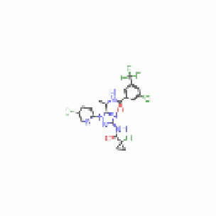 CC(NC(=O)c1cc(Cl)cc(C(F)(F)F)c1)c1nc(NC(=O)C2(Cl)CC2)nn1-c1ccc(Cl)cn1